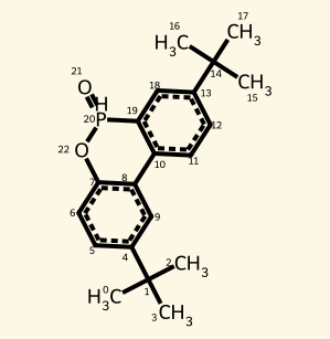 CC(C)(C)c1ccc2c(c1)-c1ccc(C(C)(C)C)cc1[PH](=O)O2